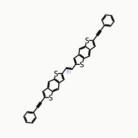 C(#Cc1cc2cc3sc(/C=C/c4cc5cc6sc(C#Cc7ccccc7)cc6cc5s4)cc3cc2s1)c1ccccc1